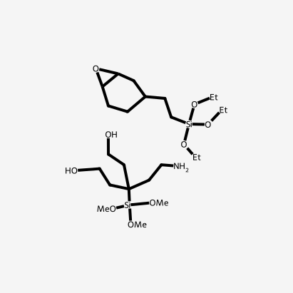 CCO[Si](CCC1CCC2OC2C1)(OCC)OCC.CO[Si](OC)(OC)C(CCN)(CCO)CCO